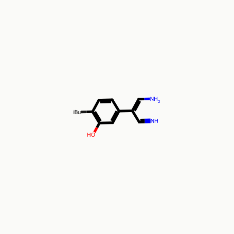 CCC(C)c1ccc(/C(C=N)=C/N)cc1O